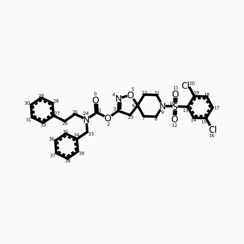 O=C(OC1=NOC2(CCN(S(=O)(=O)c3cc(Cl)ccc3Cl)CC2)C1)N(CCc1ccccc1)Cc1ccccc1